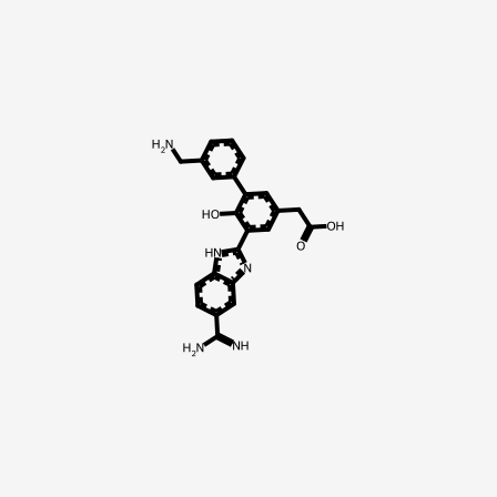 N=C(N)c1ccc2[nH]c(-c3cc(CC(=O)O)cc(-c4cccc(CN)c4)c3O)nc2c1